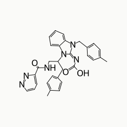 Cc1ccc(CC(CNC(=O)c2cccnn2)n2c(=NC(=O)O)n(Cc3ccc(C)cc3)c3ccccc32)cc1